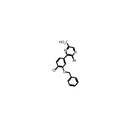 O=C(O)c1cnc(Br)c(-c2ccc(Cl)c(OCc3ccccc3)c2)n1